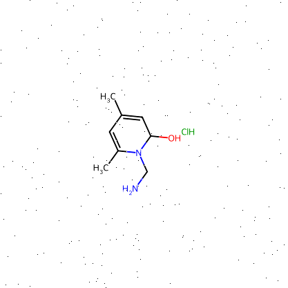 CC1=CC(O)N(CN)C(C)=C1.Cl